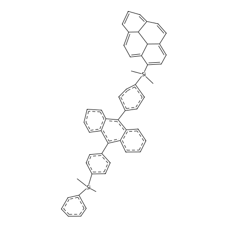 C[Si](C)(C1=CC=C2C=CC3=CC=CC4=CC=C1C2C34)c1ccc(-c2c3ccccc3c(-c3ccc([Si](C)(C)c4ccccc4)cc3)c3ccccc23)cc1